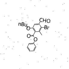 CCCCOc1cc(C=O)c(Br)c(C)c1C(=O)Oc1ccccc1